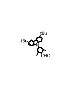 Cc1cc(-n2c3ccc(C(C)(C)C)cc3c3cc(C(C)(C)C)ccc32)cc(C)c1C=O